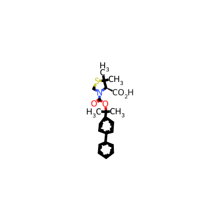 CC(C)(OC(=O)N1CSC(C)(C)[C@H]1C(=O)O)c1ccc(-c2ccccc2)cc1